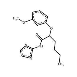 CCCCC(Oc1cccc(OC)c1)C(=O)Nc1nccs1